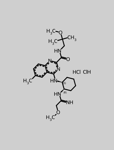 COCC(=N)N[C@@H]1CCCC[C@@H]1Nc1nc(C(=O)NCC(C)(C)OC)nc2ccc(C)cc12.Cl.Cl